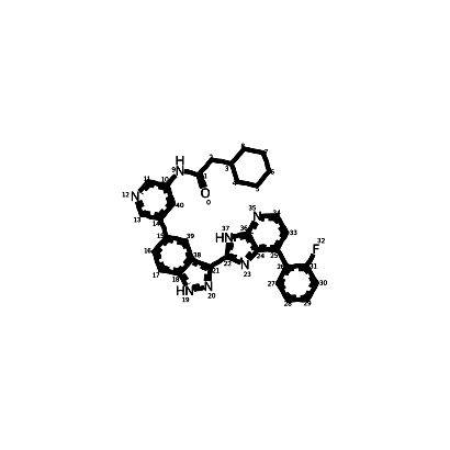 O=C(CC1CCCCC1)Nc1cncc(-c2ccc3[nH]nc(-c4nc5c(-c6ccccc6F)ccnc5[nH]4)c3c2)c1